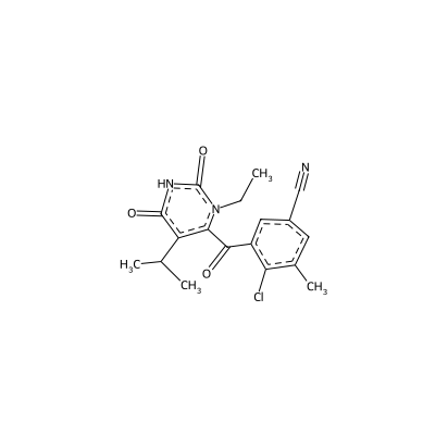 CCn1c(C(=O)c2cc(C#N)cc(C)c2Cl)c(C(C)C)c(=O)[nH]c1=O